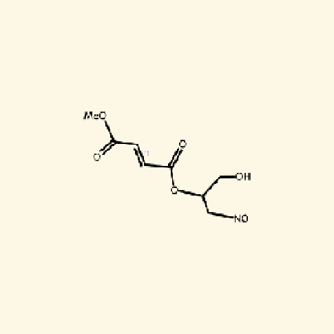 COC(=O)/C=C/C(=O)OC(CO)CN=O